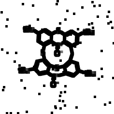 CC(C)(C)c1cc2c3c(c1)Sc1cc(C(C)(C)C)cc(c1[S+]3[O-])Sc1cc(C(C)(C)C)cc3c1Sc1c(cc(C(C)(C)C)cc1[S+]3[O-])C2